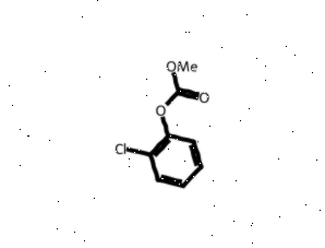 COC(=O)Oc1[c]cccc1Cl